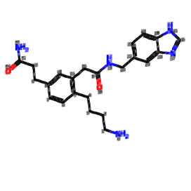 NCCCCc1ccc(CCC(N)=O)cc1CC(=O)NCc1ccc2[nH]cnc2c1